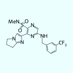 CNS(=O)(=O)c1ncc(NCc2cccc(C(F)(F)F)c2)nc1-c1cn2c(n1)CCC2